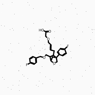 O=C(O)COC/C=C/CC1C(COCc2ccc(F)cc2)C2CC1(c1ccc(F)cc1)CO2